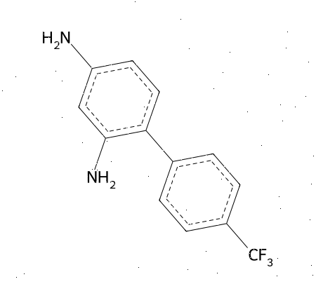 Nc1ccc(-c2ccc(C(F)(F)F)cc2)c(N)c1